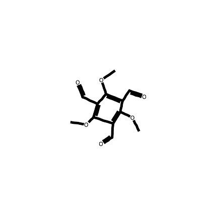 COc1c(C=O)c(OC)c(C=O)c(OC)c1C=O